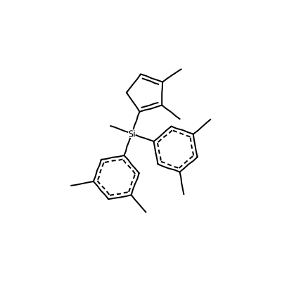 CC1=CCC([Si](C)(c2cc(C)cc(C)c2)c2cc(C)cc(C)c2)=C1C